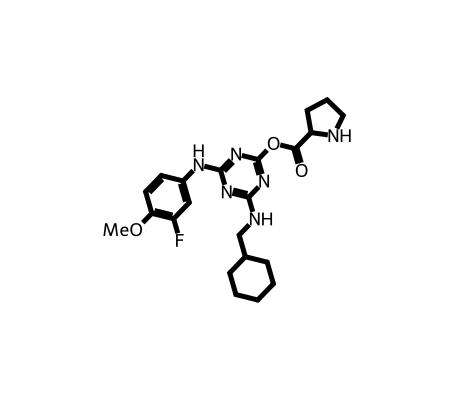 COc1ccc(Nc2nc(NCC3CCCCC3)nc(OC(=O)C3CCCN3)n2)cc1F